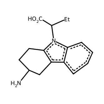 CCC(C(=O)O)n1c2c(c3ccccc31)CC(N)CC2